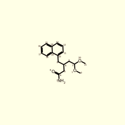 COC(CC([CH]C(N)=O)Cc1cccc2ccccc12)OC